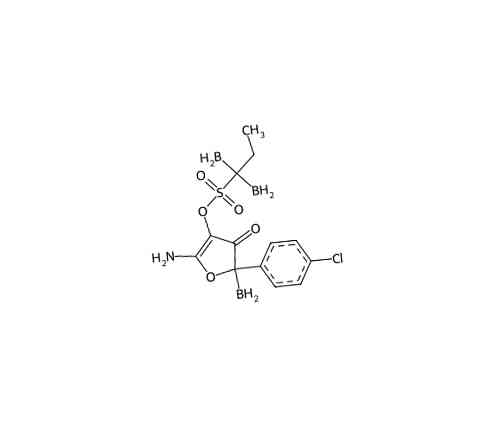 BC1(c2ccc(Cl)cc2)OC(N)=C(OS(=O)(=O)C(B)(B)CC)C1=O